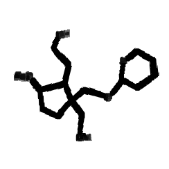 CC(=O)OCC1(COC2CCCCO2)CCC(OC(C)=O)C1CCO